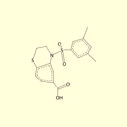 Cc1cc(C)cc(S(=O)(=O)N2CCSc3ccc(C(=O)O)cc32)c1